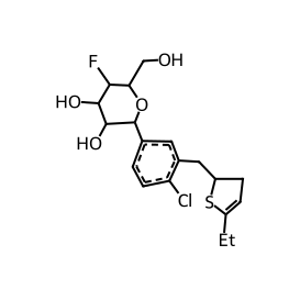 CCC1=CCC(Cc2cc(C3OC(CO)C(F)C(O)C3O)ccc2Cl)S1